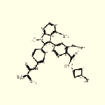 C=C(C)C(=O)Nc1ccc(-c2c(-c3ccc(C(=O)N[C@H]4C[C@H](F)C4)c(COC)c3)c3c(N)ncnc3n2C)cc1